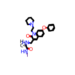 C[C@H](NCc1cc2ccc(Oc3ccccc3)cc2n(CCN2CCCCC2)c1=O)C(=O)NI